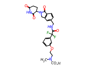 CN(CCOc1cccc(C(F)(F)C(=O)NCc2ccc3c(c2)CN(C2CCC(=O)NC2=O)C3=O)c1)C(=O)O